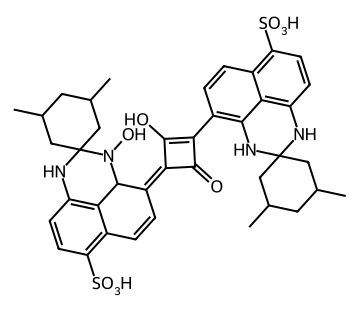 CC1CC(C)CC2(C1)Nc1ccc(S(=O)(=O)O)c3ccc(C4=C(O)/C(=C5/C=Cc6c(S(=O)(=O)O)ccc7c6C5N(O)C5(CC(C)CC(C)C5)N7)C4=O)c(c13)N2